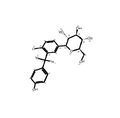 [2H]C([2H])(c1ccc(O)cc1)c1cc(C2O[C@H](CO)[C@@H](O)[C@H](O)[C@H]2O)ccc1Cl